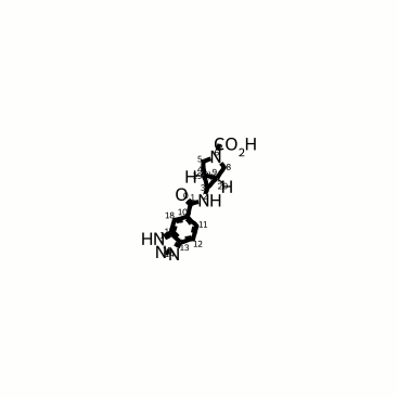 O=C(NC1[C@H]2CN(C(=O)O)C[C@@H]12)c1ccc2nn[nH]c2c1